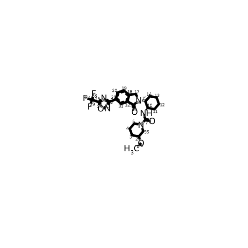 COC1CCCN(C(=O)N[C@@H]2CCCC[C@H]2N2Cc3ccc(-c4noc(C(F)(F)F)n4)cc3C2=O)C1